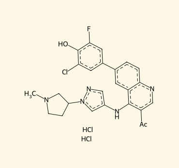 CC(=O)c1cnc2ccc(-c3cc(F)c(O)c(Cl)c3)cc2c1Nc1cnn(C2CCN(C)C2)c1.Cl.Cl